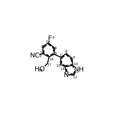 N#Cc1cc(F)cc(-c2ccc3[nH]cnc3c2)c1CO